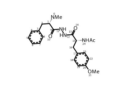 CN[C@@H](Cc1ccccc1)C(=O)NNC(=O)[C@@H](Cc1ccc(OC)cc1)NC(C)=O